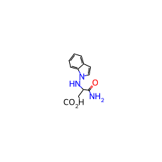 NC(=O)C(CC(=O)O)Nn1ccc2ccccc21